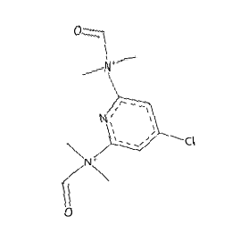 C[N+](C)(C=O)c1cc(Cl)cc([N+](C)(C)C=O)n1